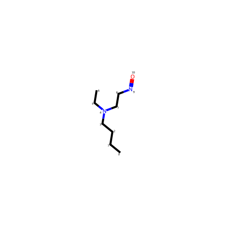 CCCCN(CC)CCN=O